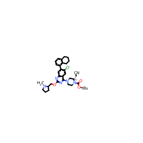 CN1CCCC1COc1nc(N2CCN(C(=O)OC(C)(C)C)[C@@H](CC#N)C2)c2cc(Cl)c(-c3cccc4c3CCCC4)cc2n1